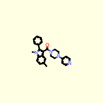 Cc1ccc2c(c1)c(C(=O)N1CCN(c3ccncc3)CC1)c(-c1ccccc1)n2C